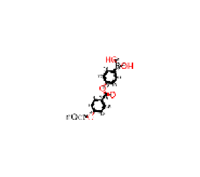 CCCCCCCCOc1ccc(C(=O)Oc2ccc(B(O)O)cc2)cc1